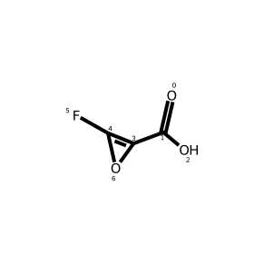 O=C(O)C1=C(F)O1